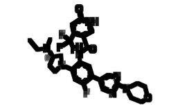 CCN(C)[C@@H]1CCN(c2cc(F)c(-c3cnc(N4CCOCC4)nc3)cc2NC(=O)c2c[nH]c(=O)cc2C(F)(F)F)C1